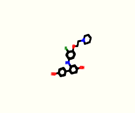 Oc1ccc(-c2ccc(O)cc2Nc2ccc(OCCN3CCCCC3)c(F)c2)cc1